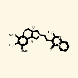 COc1cc2c(c(OC)c1C)OC[C@H]1CN(CCc3c(C)nc4ccccn4c3=O)C[C@@H]21